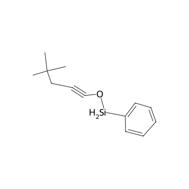 CC(C)(C)CC#CO[SiH2]c1ccccc1